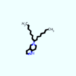 CCCCCCCC(CCCCCCC)N1CCC2NCCC2C1